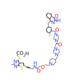 Cc1nc(SCC(=O)O)c2cc(C#CCNC(=O)COCCN3CCC(CN4CCN(CC(=O)N5CCN(C(=O)c6cc(Cc7n[nH]c(=O)c8ccccc78)ccc6F)CC5)CC4)CC3)sc2n1